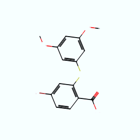 COc1cc(OC)cc(Sc2cc(Br)ccc2C(=O)O)c1